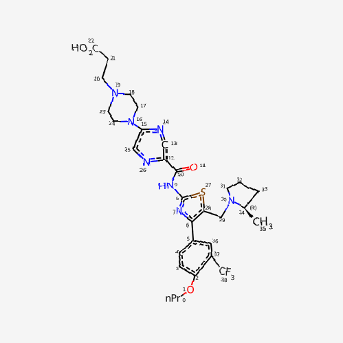 CCCOc1ccc(-c2nc(NC(=O)c3cnc(N4CCN(CCC(=O)O)CC4)cn3)sc2CN2CCC[C@H]2C)cc1C(F)(F)F